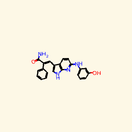 NC(=O)/C(=C/c1c[nH]c2nc(Nc3cccc(O)c3)ccc12)c1ccccc1